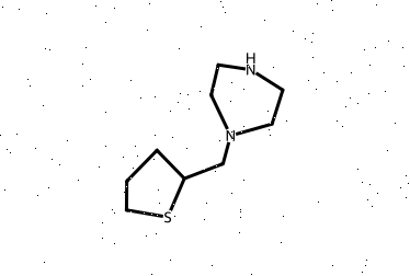 C1CSC(CN2CCNCC2)C1